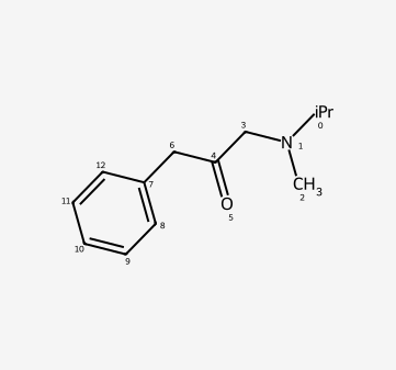 CC(C)N(C)CC(=O)Cc1ccccc1